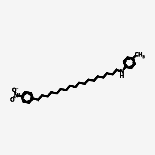 Cc1ccc(N[CH]CCCCCCCCCCCCCCCC[CH]c2ccc([N+](=O)[O-])cc2)cc1